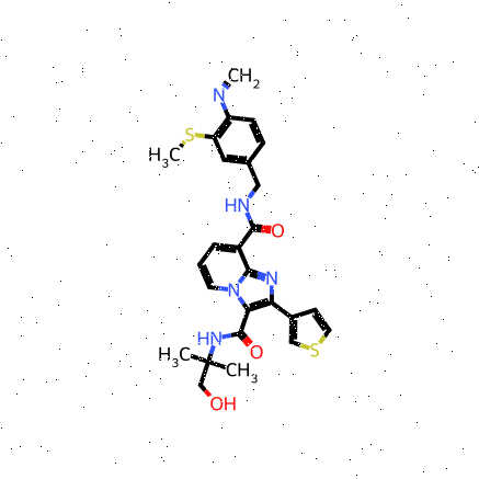 C=Nc1ccc(CNC(=O)c2cccn3c(C(=O)NC(C)(C)CO)c(-c4ccsc4)nc23)cc1SC